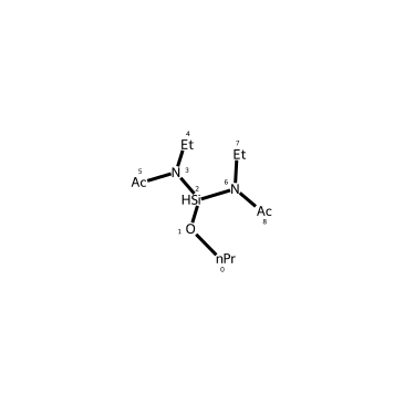 CCCO[SiH](N(CC)C(C)=O)N(CC)C(C)=O